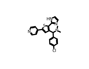 CN(C)C(c1ccc(Cl)cc1)c1cc(-c2ccncc2)sc1-c1ncc[nH]1